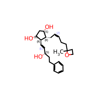 CC1(CC/C=C\C[C@@H]2[C@@H](/C=C/[C@@H](O)CCc3ccccc3)[C@H](O)C[C@@H]2O)CCO1